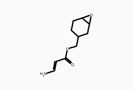 NC=CC(=O)OCC1CCC2OC2C1